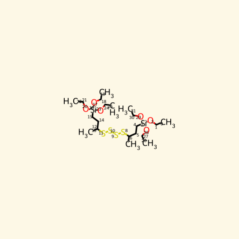 CCO[Si](CCC(C)SSSSC(C)CC[Si](OCC)(OCC)OCC)(OCC)OCC